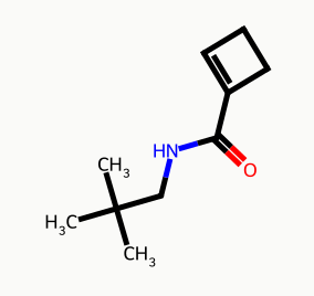 CC(C)(C)CNC(=O)C1=CCC1